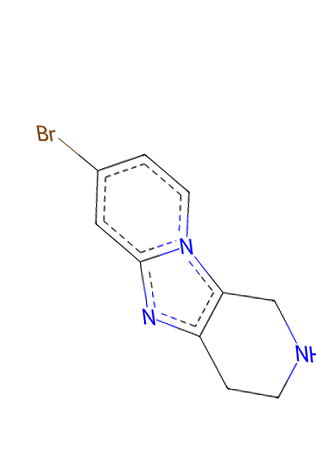 Brc1ccn2c3c(nc2c1)CCNC3